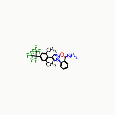 Cc1cc(C(F)(C(F)(F)F)C(F)(F)F)cc(C)c1-c1cnn(-c2ccccc2C(N)=O)c1